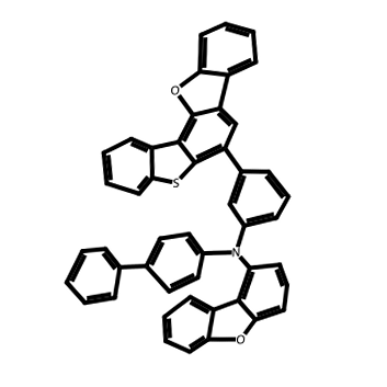 c1ccc(-c2ccc(N(c3cccc(-c4cc5c6ccccc6oc5c5c4sc4ccccc45)c3)c3cccc4oc5ccccc5c34)cc2)cc1